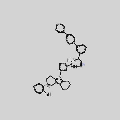 NC(/C=C\NCc1cccc(-n2c3c(c4c2CC[C@@H](c2ccccc2S)C4)CCCC3)c1)c1cccc(-c2ccc(-c3ccccc3)cc2)c1